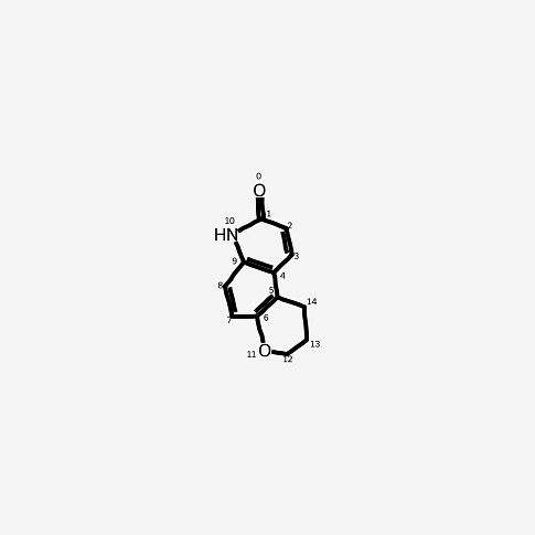 O=c1ccc2c3c(ccc2[nH]1)OCCC3